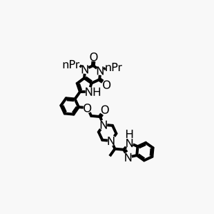 CCCn1c(=O)c2[nH]c(-c3ccccc3OCC(=O)N3CCN(C(C)c4nc5ccccc5[nH]4)CC3)cc2n(CCC)c1=O